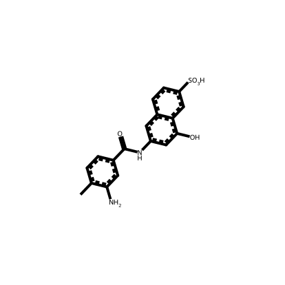 Cc1ccc(C(=O)Nc2cc(O)c3cc(S(=O)(=O)O)ccc3c2)cc1N